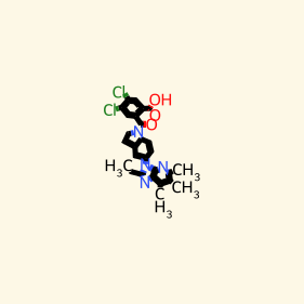 CCc1nc2c(C)c(C)c(C)nc2n1C1=CC2=CCN(C(=O)c3cc(Cl)c(Cl)cc3C(=O)O)C2C=C1